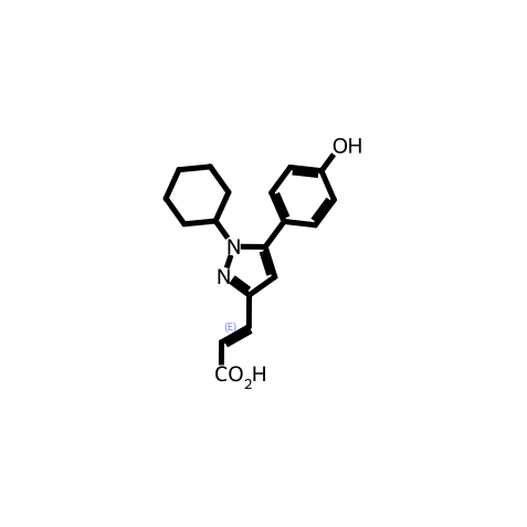 O=C(O)/C=C/c1cc(-c2ccc(O)cc2)n(C2CCCCC2)n1